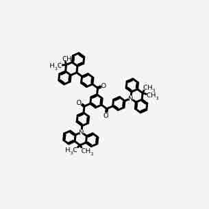 CC1(C)c2ccccc2C(c2ccc(C(=O)c3cc(C(=O)c4ccc(N5c6ccccc6C(C)(C)c6ccccc65)cc4)cc(C(=O)c4ccc(N5c6ccccc6C(C)(C)c6ccccc65)cc4)c3)cc2)c2ccccc21